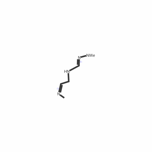 C/N=C\CN/C=N/NC